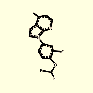 Cc1ccnc2c1ccn2-c1ccc(OC(F)F)c(F)c1